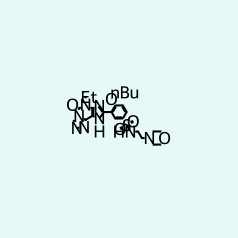 CCCCOc1ccc(S(=O)(=O)NCCN2CCOCC2)cc1-c1nc2c([nH]1)c1nncn1c(=O)n2CC